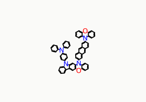 c1ccc(N(c2ccccc2)c2ccc(-n3c4ccccc4c4cc5c(cc43)N(c3ccc4cc6cc(N7c8ccccc8Oc8ccccc87)ccc6cc4c3)c3ccccc3O5)cc2)cc1